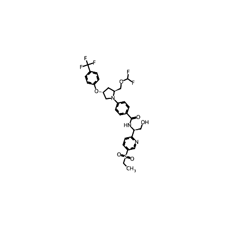 CCS(=O)(=O)c1ccc([C@H](CO)NC(=O)c2ccc(N3C[C@H](Oc4ccc(C(F)(F)F)cc4)C[C@H]3COC(F)F)cc2)nc1